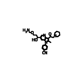 Cc1c(C(=O)CN2CCCCC2)c2ncc(C(O)CCOCN)cc2n1-c1ccc(C#N)cc1